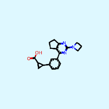 O=C(O)C1CC1c1cccc(-c2nc(N3CCC3)nc3c2CCC3)c1